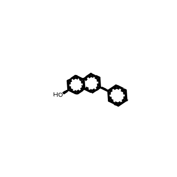 Oc1ccc2ccc(-c3ccccc3)cc2c1